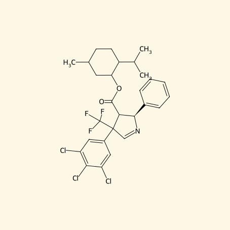 CC1CCC(C(C)C)C(OC(=O)C2[C@@H](c3ccccc3)N=CC2(c2cc(Cl)c(Cl)c(Cl)c2)C(F)(F)F)C1